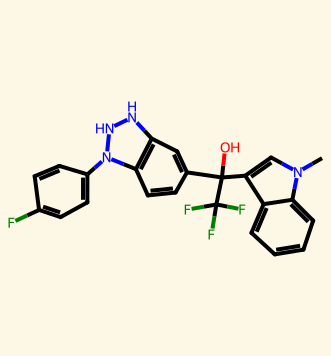 Cn1cc(C(O)(c2ccc3c(c2)NNN3c2ccc(F)cc2)C(F)(F)F)c2ccccc21